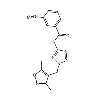 COc1cccc(C(=O)Nc2nnn(Cc3c(C)noc3C)n2)c1